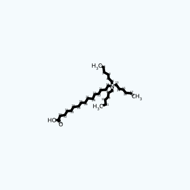 CCCCCC[N+](CCCCCC)(CCCCCC)CCCCCCCCCCCCCCCC(=O)O